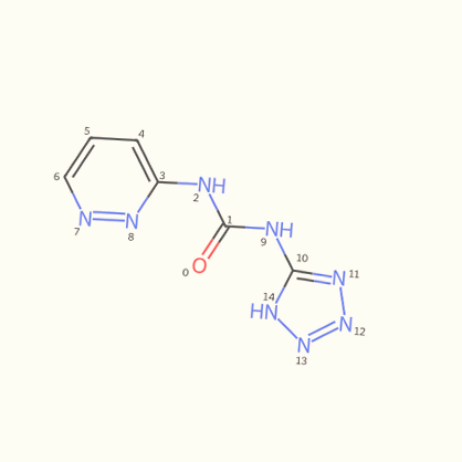 O=C(Nc1cccnn1)Nc1nnn[nH]1